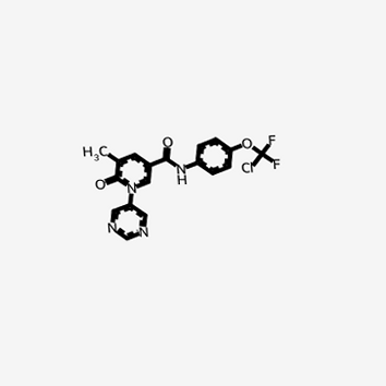 Cc1cc(C(=O)Nc2ccc(OC(F)(F)Cl)cc2)cn(-c2cncnc2)c1=O